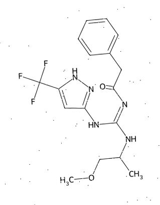 COCC(C)N/C(=N/C(=O)Cc1ccccc1)Nc1cc(C(F)(F)F)[nH]n1